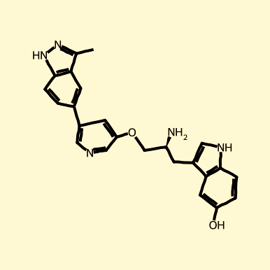 Cc1n[nH]c2ccc(-c3cncc(OC[C@@H](N)Cc4c[nH]c5ccc(O)cc45)c3)cc12